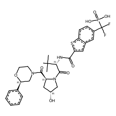 CC(C)(C)[C@H](NC(=O)c1cc2cc(C(F)(F)P(=O)(O)O)ccc2s1)C(=O)N1C[C@H](O)C[C@H]1C(=O)N1CCO[C@H](c2ccccc2)C1